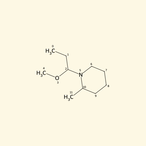 CCC(OC)N1CCCCC1C